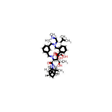 CC(C)C[C@@H](CN(C)C)N(Cc1cccc(CN2O[C@@H](CO)[C@@H]([C@H](C)O)[C@H]2C(=O)N[C@H]2C[C@H]3C[C@@H]([C@@H]2C)C3(C)C)c1)Cc1ccccc1C(=O)O